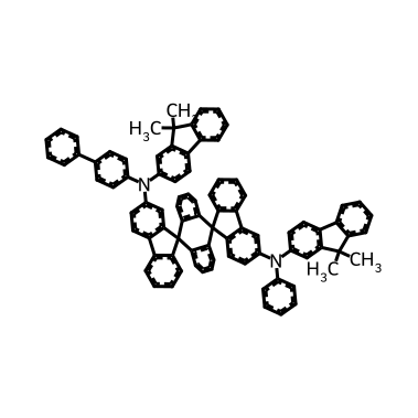 CC1(C)c2ccccc2-c2ccc(N(c3ccccc3)c3ccc4c(c3)-c3ccccc3C43c4ccccc4C4(c5ccccc5-c5ccc(N(c6ccc(-c7ccccc7)cc6)c6ccc7c(c6)C(C)(C)c6ccccc6-7)cc54)c4ccccc43)cc21